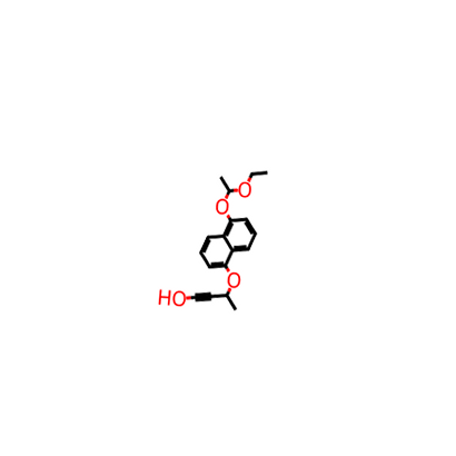 CCOC(C)Oc1cccc2c(OC(C)C#CO)cccc12